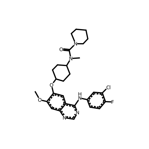 COc1cc2ncnc(Nc3ccc(F)c(Cl)c3)c2cc1OC1CCC(N(C)C(=O)N2CCCCC2)CC1